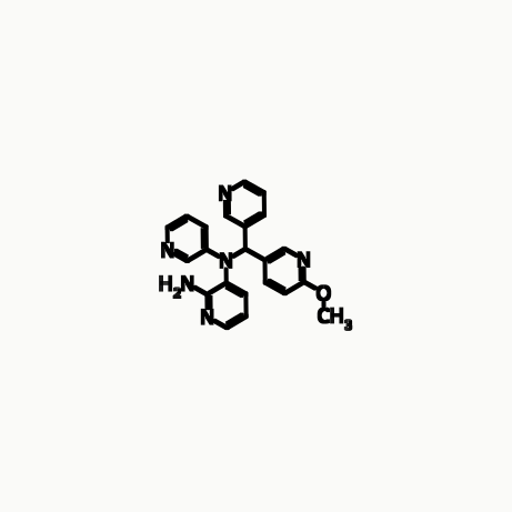 COc1ccc(C(c2cccnc2)N(c2cccnc2)c2cccnc2N)cn1